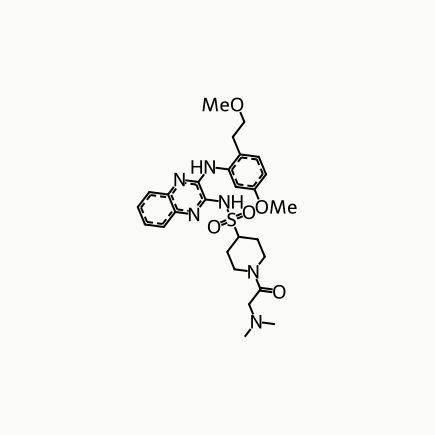 COCCc1ccc(OC)cc1Nc1nc2ccccc2nc1NS(=O)(=O)C1CCN(C(=O)CN(C)C)CC1